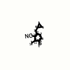 N#Cc1c(CC2CC2)ccc(F)c1I